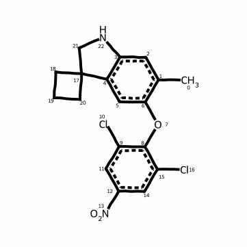 Cc1cc2c(cc1Oc1c(Cl)cc([N+](=O)[O-])cc1Cl)C1(CCC1)CN2